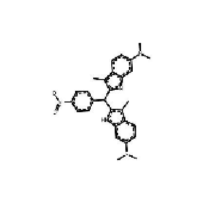 Cc1c(C(c2ccc([N+](=O)[O-])cc2)c2[nH]c3cc(N(C)C)ccc3c2C)[nH]c2cc(N(C)C)ccc12